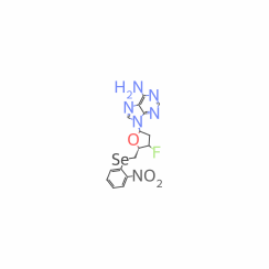 Nc1ncnc2c1ncn2[C@H]1CC(F)[C@@H](C[Se]c2ccccc2[N+](=O)[O-])O1